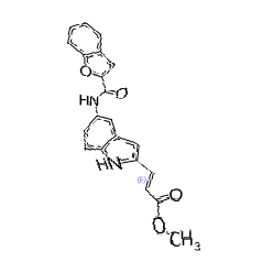 COC(=O)/C=C/c1cc2cc(NC(=O)c3cc4ccccc4o3)ccc2[nH]1